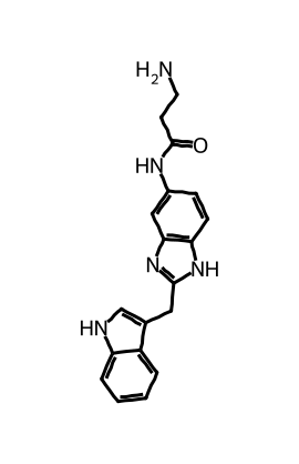 NCCC(=O)Nc1ccc2[nH]c(Cc3c[nH]c4ccccc34)nc2c1